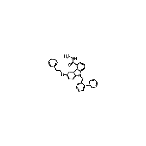 NNC(=O)c1cccc2c1c1cc(OCCc3ccccc3)ccc1n2Cc1ccccc1-c1ccccc1